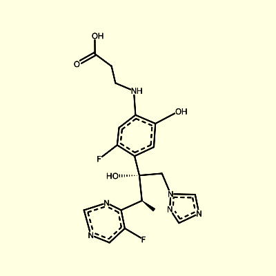 C[C@@H](c1ncncc1F)[C@](O)(Cn1cncn1)c1cc(O)c(NCCC(=O)O)cc1F